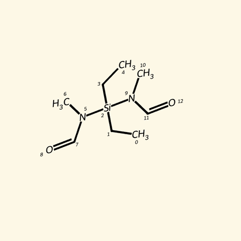 CC[Si](CC)(N(C)C=O)N(C)C=O